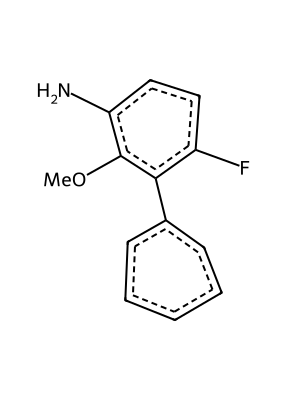 COc1c(N)ccc(F)c1-c1ccccc1